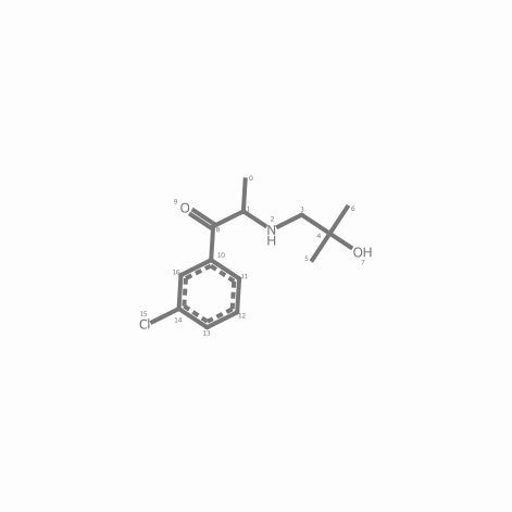 CC(NCC(C)(C)O)C(=O)c1cccc(Cl)c1